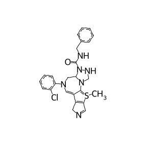 CS1=C2C(=CN(c3ccccc3Cl)CC3N2CNN3C(=O)NCc2ccccc2)C2=C1C=NC2